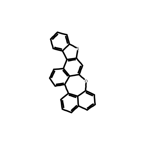 c1cc2cccc3c4cccc5c4c(cc4sc6ccccc6c45)oc(c1)c23